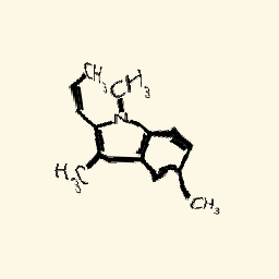 C/C=C\c1c(C)c2cc(C)ccc2n1C